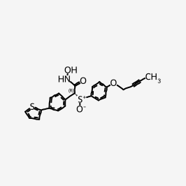 CC#CCOc1ccc([S+]([O-])[C@@H](C(=O)NO)c2ccc(-c3cccs3)cc2)cc1